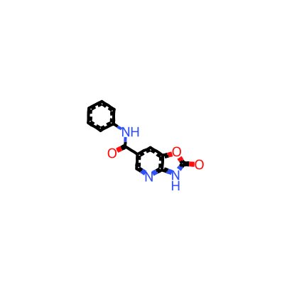 O=C(Nc1ccccc1)c1cnc2[nH]c(=O)oc2c1